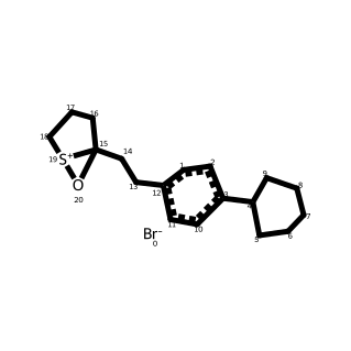 [Br-].c1cc(C2CCCCC2)ccc1CCC12CCC[S+]1O2